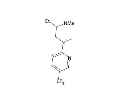 CCC(CN(C)c1ncc(C(F)(F)F)cn1)NC